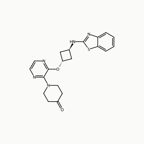 O=C1CCN(c2nccnc2O[C@H]2C[C@H](Nc3nc4ccccc4s3)C2)CC1